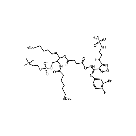 CCCCCCCCCCCCC/C=C/[C@@H](OC(=O)CCC(=O)ON/C(=N/c1ccc(F)c(Br)c1)c1nonc1NCCNS(N)(=O)=O)[C@H](COP(=O)([O-])OCC[N+](C)(C)C)NC(=O)CCCCCCCCCCCCCCC